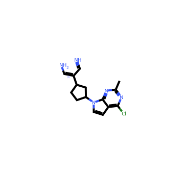 Cc1nc(Cl)c2ccn(C3CCC(/C(C=N)=C/N)C3)c2n1